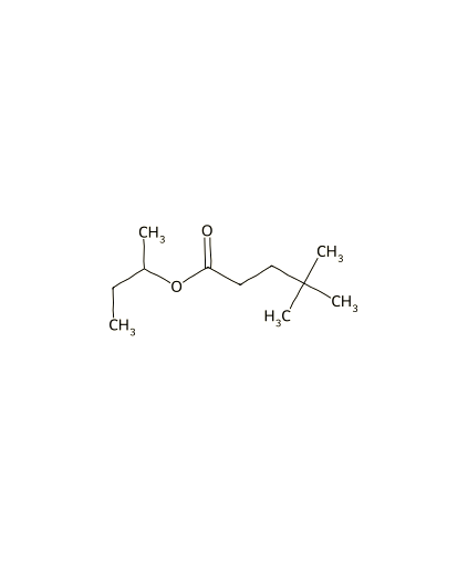 CCC(C)OC(=O)CCC(C)(C)C